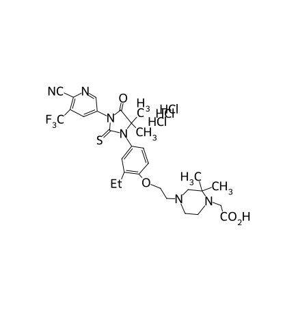 CCc1cc(N2C(=S)N(c3cnc(C#N)c(C(F)(F)F)c3)C(=O)C2(C)C)ccc1OCCN1CCN(CC(=O)O)C(C)(C)C1.Cl.Cl.Cl